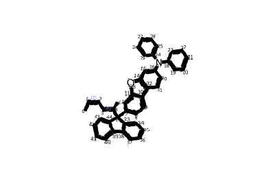 C/C=C\C=C(/C)C1(c2ccc3c(c2)oc2cc(N(c4ccccc4)c4ccccc4)ccc23)c2ccccc2-c2ccccc21